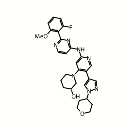 COc1cccc(F)c1-c1nccc(Nc2cc(N3CCC[C@H](O)C3)c(-c3cnn(C4CCOCC4)c3)cn2)n1